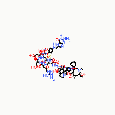 CCN1Cc2c([nH]c3ccccc23)[C@@](C(=O)OC)(c2cc3c(cc2OC)N(C)[C@H]2[C@@](O)(C(=O)NNC(=O)OCCSSC[C@H](NC(=O)[C@H](CC(=O)O)NC(=O)[C@H](CC(=O)O)NC(=O)[C@H](CCCNC(=N)N)NC(=O)[C@@H](CC(=O)O)N[C@@H](O)CC[C@@H](NC(=O)c4ccc(NCc5cnc6nc(N)[nH]c(=O)c6n5)cc4)C(=O)O)C(=O)O)[C@H](O)[C@]4(CC)C=CCN5CC[C@]32[C@@H]54)C[C@H](C)C[C@@](O)(CC)C1